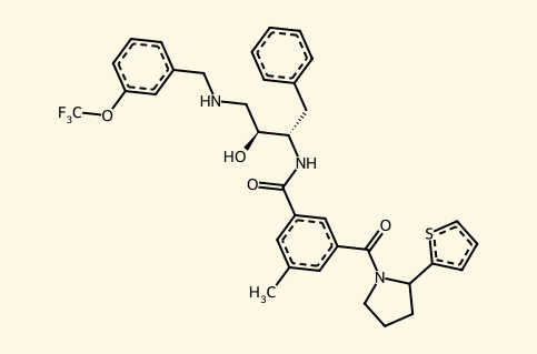 Cc1cc(C(=O)N[C@@H](Cc2ccccc2)[C@@H](O)CNCc2cccc(OC(F)(F)F)c2)cc(C(=O)N2CCCC2c2cccs2)c1